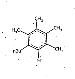 CCCCc1c(C)c(C)c(C)c(C)c1CC